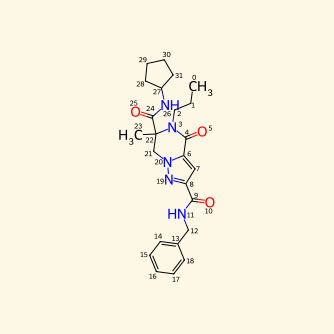 CCCN1C(=O)c2cc(C(=O)NCc3ccccc3)nn2CC1(C)C(=O)NC1CCCC1